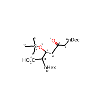 CCCCCCCCCCCC(=O)C[C@@H](O[Si](C)(C)C)C(CCCCCC)C(=O)O